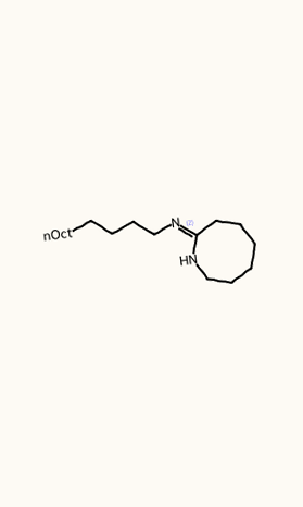 CCCCCCCCCCCC/N=C1/CCCCCCN1